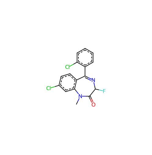 CN1C(=O)C(F)N=C(c2ccccc2Cl)c2ccc(Cl)cc21